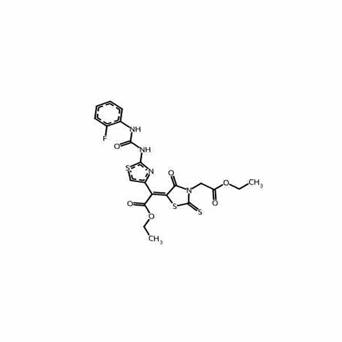 CCOC(=O)CN1C(=O)C(=C(C(=O)OCC)c2csc(NC(=O)Nc3ccccc3F)n2)SC1=S